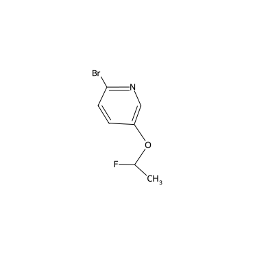 CC(F)Oc1ccc(Br)nc1